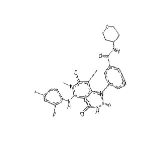 Cc1c(=O)n(C)c(Nc2ccc(I)cc2F)c2c(=O)[nH]c(=O)n(-c3cccc(C(=O)NC4CCOCC4)c3)c12